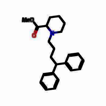 COC(=O)C1CCCCN1CCCC(c1ccccc1)c1ccccc1